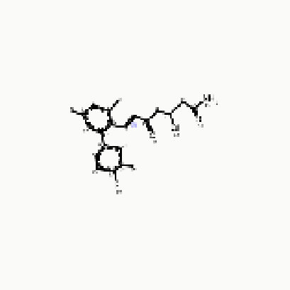 Cc1cc(C)c(/C=C/C(=O)CC(O)CC(N)=O)c(-c2ccc(F)c(C)c2)c1